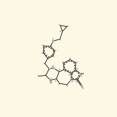 CC(CCc1ccc(OCC2CC2)cc1)NC1CCn2c(=O)[nH]c3cccc(c32)C1O